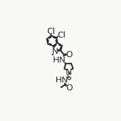 CC(=O)NSN1CCC(NC(=O)c2cc3c(Cl)c(Cl)ccc3n2C)C1